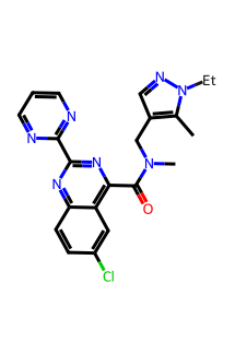 CCn1ncc(CN(C)C(=O)c2nc(-c3ncccn3)nc3ccc(Cl)cc23)c1C